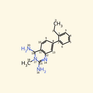 CCc1ccccc1-c1ccc2c(c1)N=C(N)N(C)C2N